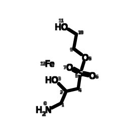 NCC(O)CS(=O)(=O)OCCO.[Fe]